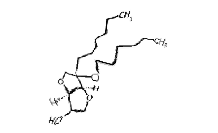 CCCCCCO[C@@]1(CCCCCC)CO[C@@H]2[C@H](O)CO[C@@H]21